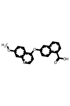 COc1ccc2c(Oc3ccc4c(C(=O)O)cccc4c3)ccnc2c1